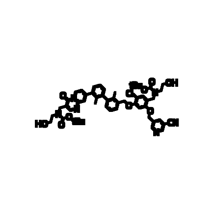 Cc1c(COc2cc(OCc3cncc(C#N)c3)c(CN(CCO)C(=O)OC(C)(C)C)cc2Cl)cccc1-c1cccc(-c2ccn3c(=O)c(CN(CCO)C(=O)OC(C)(C)C)cnc3c2)c1C